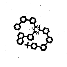 CC(C)(C)c1ccc(-c2cccc(-c3cccc(-c4cccc(-c5nc(-c6cccc(-c7cccc(-c8ccccc8)c7)c6)nc(-c6cccc(-c7cccc8ccccc78)c6)n5)c4)c3)c2)cc1